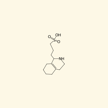 O=S(=O)(O)CCCC1NCCC2=C1CCCC2